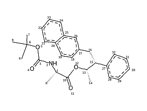 C[C@H](NC(=O)OC(C)(C)C)C(=O)O[C@@H](C)[C@H](Cc1ccc2ccccc2c1)c1ccccc1